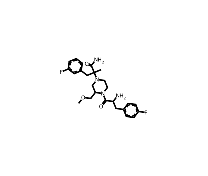 COCC1CN(C(C)(Cc2cccc(F)c2)C(N)=O)CCN1C(=O)C(N)Cc1ccc(F)cc1